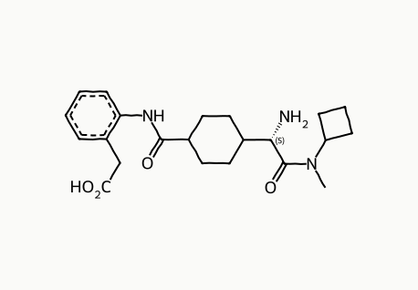 CN(C(=O)[C@@H](N)C1CCC(C(=O)Nc2ccccc2CC(=O)O)CC1)C1CCC1